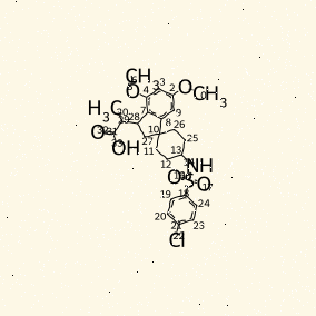 COc1cc(OC)c2c(c1)C1(CCC(NS(=O)(=O)c3ccc(Cl)cc3)CC1)CC2C(C)C(=O)O